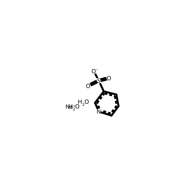 O.O.O=S(=O)([O-])c1cccnc1.[Na+]